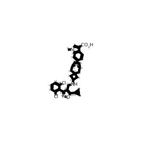 Cn1cc(C(=O)O)c2ccc(N3C4CCC3CC3(CC(NCc5c(-c6c(Cl)cccc6Cl)noc5C5CC5)C3)C4)cc21